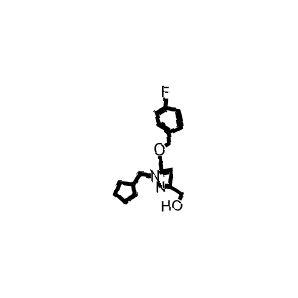 OCc1cc(OCc2ccc(F)cc2)n(CC2CCCC2)n1